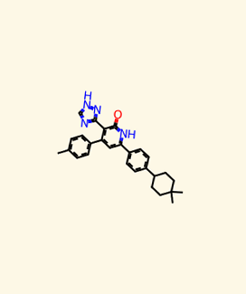 Cc1ccc(-c2cc(-c3ccc(C4CCC(C)(C)CC4)cc3)[nH]c(=O)c2-c2nc[nH]n2)cc1